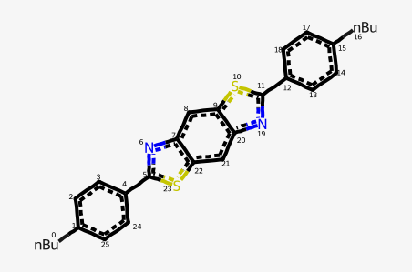 CCCCc1ccc(-c2nc3cc4sc(-c5ccc(CCCC)cc5)nc4cc3s2)cc1